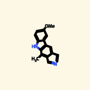 COc1ccc2[nH]c3c(C)c4cnccc4cc3c2c1